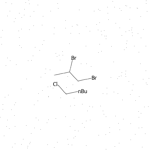 CC(Br)CBr.CCCCCCl